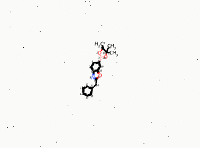 C=C1OB(c2ccc3nc(Cc4ccccc4)oc3c2)OC1(C)C